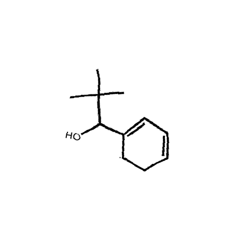 CC(C)(C)C(O)C1=CC=CC[CH]1